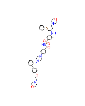 Cc1cc(S(=O)(=O)NC(=O)c2ccc(N3CCN(Cc4ccccc4-c4ccc(OCCN5CCOCC5)cc4)CC3)cc2)ccc1N[C@H](CCN1CCOCC1)CSc1ccccc1